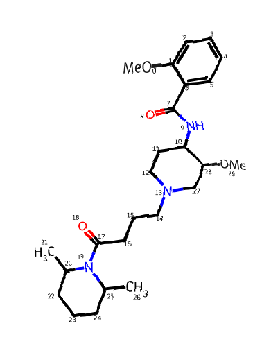 COc1ccccc1C(=O)NC1CCN(CCCC(=O)N2C(C)CCCC2C)CC1OC